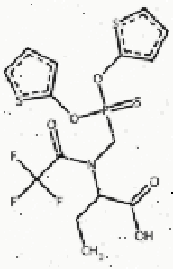 CCC(C(=O)O)N(CP(=S)(Oc1cccs1)Oc1cccs1)C(=O)C(F)(F)F